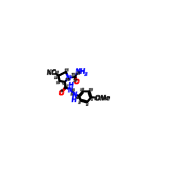 COc1ccc(NNC(=O)C2CC(C#N)CN2C(N)=O)cc1